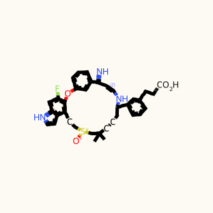 CC1(C)CCCC(c2cccc(CCC(=O)O)c2)N/C=C\C(=N)c2cccc(c2)Oc2c(F)cc3[nH]ccc3c2CC[S+]([O-])C1